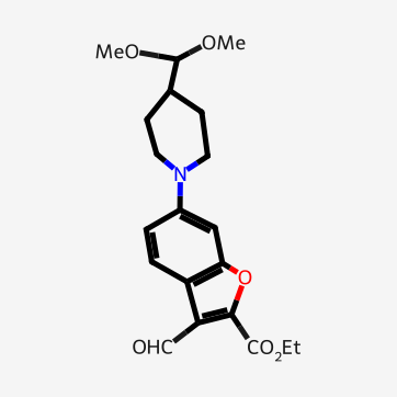 CCOC(=O)c1oc2cc(N3CCC(C(OC)OC)CC3)ccc2c1C=O